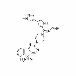 Cn1cc(-c2c[nH]c(/C(=N\C=N)N3CCN(c4ncc([C@](C)(N)c5ccccc5)cn4)CC3)c2)cn1